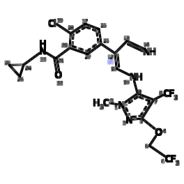 Cn1nc(OCC(F)(F)F)c(C(F)(F)F)c1N/C=C(\C=N)c1ccc(Cl)c(C(=O)NC2CC2)c1